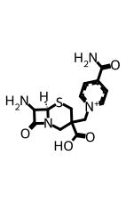 NC(=O)c1cc[n+](CC2(C(=O)O)CS[C@@H]3C(N)C(=O)N3C2)cc1